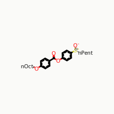 CCCCCCCCOc1ccc(C(=O)Oc2ccc([S@+]([O-])CCCCC)cc2)cc1